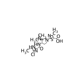 CCc1[nH]c(C(=O)NC2CCN(c3nc(C)c(C(=O)O)s3)C[C@H]2N(C)C)nc1Cl